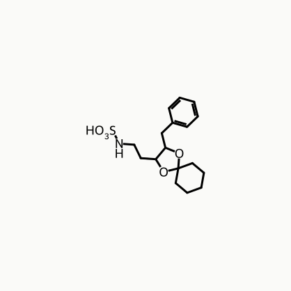 O=S(=O)(O)NCCC1OC2(CCCCC2)OC1Cc1ccccc1